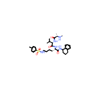 CN[C@@H](C)C(=O)N[C@H](C(=O)N[C@@H](CCCCNS(=O)(=O)c1ccc(C)cc1)C(=O)NC1CCCc2ccccc21)C(C)C